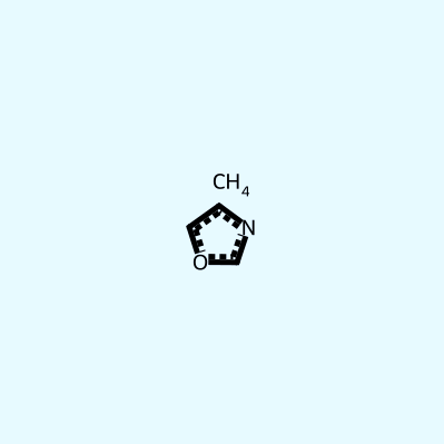 C.c1cocn1